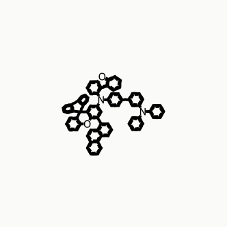 c1ccc(N(c2ccccc2)c2cccc(-c3ccc(N(c4cc(-c5cccc6c5ccc5ccccc56)c5c(c4)C4(c6ccccc6O5)c5ccccc5-c5ccccc54)c4cccc5oc6ccccc6c45)cc3)c2)cc1